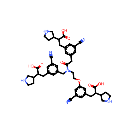 N#Cc1cc(CC(=O)N(CCOc2cc(C#N)cc(CC(C(=O)O)C3CCNC3)c2)Cc2cc(C#N)cc(CC(C(=O)O)C3CCNC3)c2)cc(CC(C(=O)O)C2CCNC2)c1